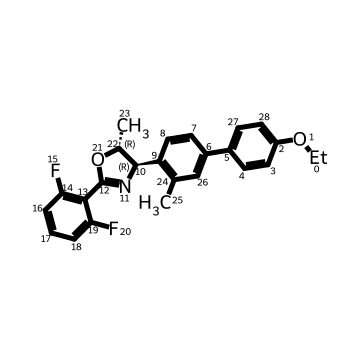 CCOc1ccc(-c2ccc([C@H]3N=C(c4c(F)cccc4F)O[C@@H]3C)c(C)c2)cc1